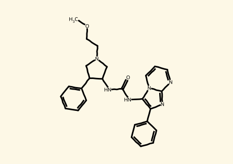 COCCN1CC(NC(=O)Nc2c(-c3ccccc3)nc3ncccn23)C(c2ccccc2)C1